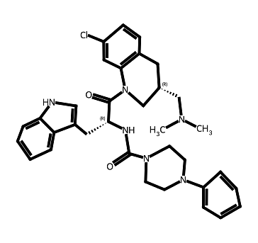 CN(C)C[C@H]1Cc2ccc(Cl)cc2N(C(=O)[C@@H](Cc2c[nH]c3ccccc23)NC(=O)N2CCN(c3ccccc3)CC2)C1